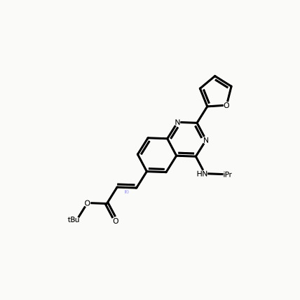 CC(C)Nc1nc(-c2ccco2)nc2ccc(/C=C/C(=O)OC(C)(C)C)cc12